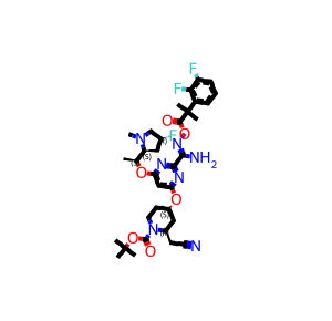 C[C@H](Oc1cc(O[C@H]2CCN(C(=O)OC(C)(C)C)[C@H](CC#N)C2)nc(C(N)=NOC(=O)C(C)(C)c2cccc(F)c2F)n1)[C@@H]1C[C@@H](F)CN1C